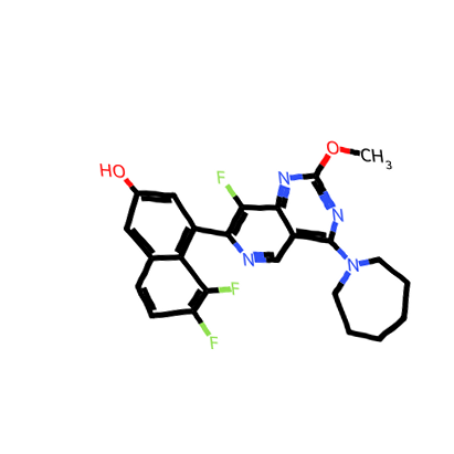 COc1nc(N2CCCCCC2)c2cnc(-c3cc(O)cc4ccc(F)c(F)c34)c(F)c2n1